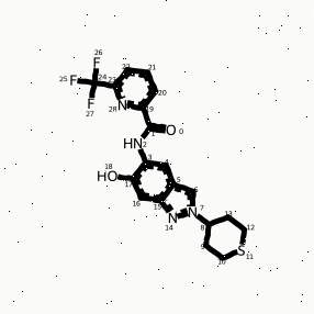 O=C(Nc1cc2cn(C3CCSCC3)nc2cc1O)c1cccc(C(F)(F)F)n1